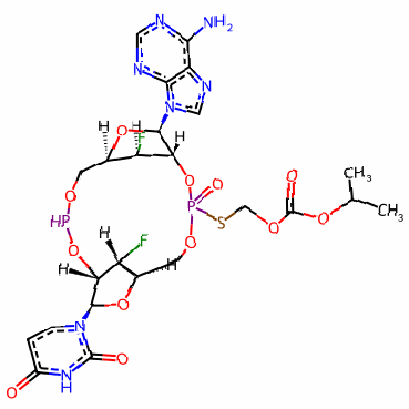 CC(C)OC(=O)OCSP1(=O)OC[C@H]2O[C@@H](n3ccc(=O)[nH]c3=O)[C@H](OPOC[C@H]3O[C@@H](n4cnc5c(N)ncnc54)[C@H](O1)[C@@H]3F)[C@@H]2F